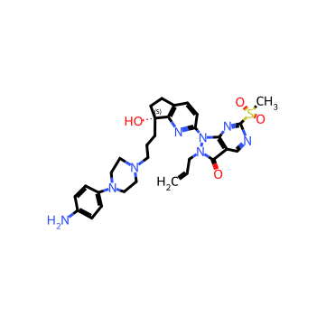 C=CCn1c(=O)c2cnc(S(C)(=O)=O)nc2n1-c1ccc2c(n1)[C@@](O)(CCCN1CCN(c3ccc(N)cc3)CC1)CC2